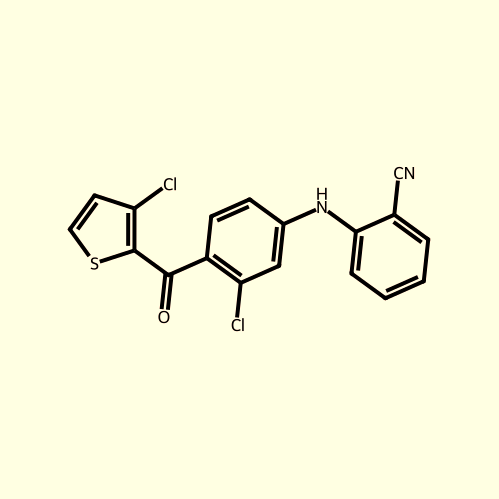 N#Cc1ccccc1Nc1ccc(C(=O)c2sccc2Cl)c(Cl)c1